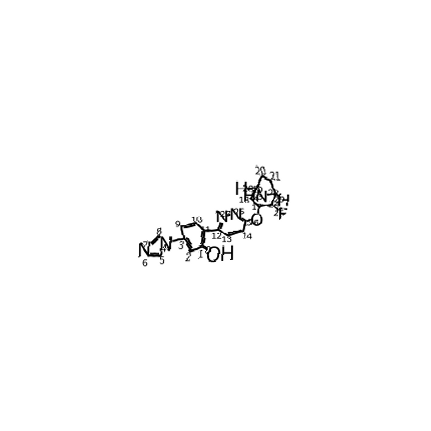 Oc1cc(-n2ccnc2)ccc1-c1ccc(O[C@H]2C[C@@H]3CC[C@@H](N3)[C@H]2F)nn1